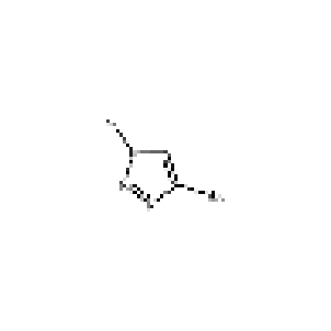 CCC(C)c1cn(CC)nn1